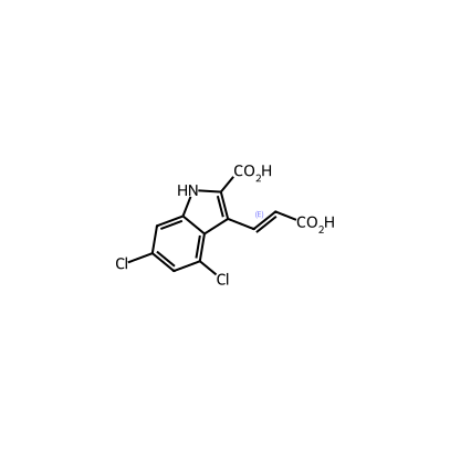 O=C(O)/C=C/c1c(C(=O)O)[nH]c2cc(Cl)cc(Cl)c12